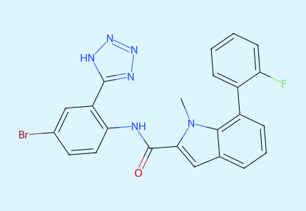 Cn1c(C(=O)Nc2ccc(Br)cc2-c2nnn[nH]2)cc2cccc(-c3ccccc3F)c21